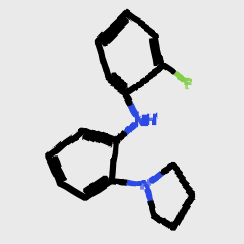 Fc1ccccc1Nc1ccccc1N1CCCC1